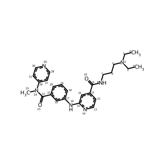 CCN(CC)CCCNC(=O)c1ccnc(Nc2cccc(C(=O)N(C)c3ccncc3)c2)c1